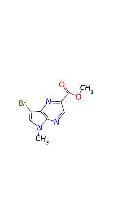 COC(=O)c1cnc2c(n1)c(Br)cn2C